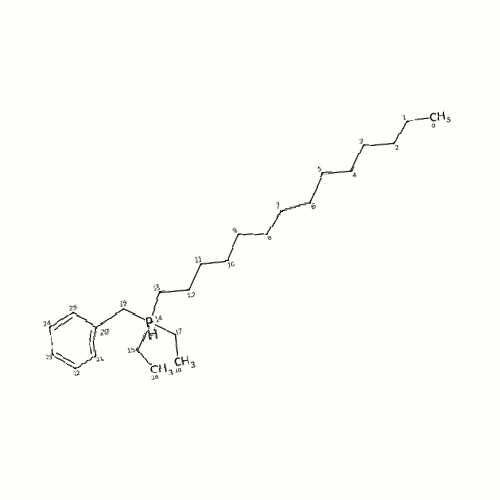 CCCCCCCCCCCCCC[PH](CC)(CC)Cc1ccccc1